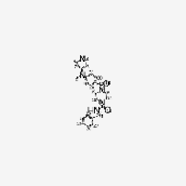 CN(c1ccncc1)c1ccc(C(=O)N2CCN(C(=O)NCc3ccccc3)CC2)cc1